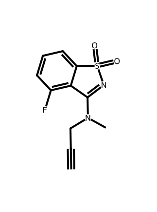 C#CCN(C)C1=NS(=O)(=O)c2cccc(F)c21